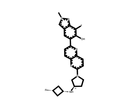 Cn1cc2cc(-c3ccc4nc(N5CC[C@@H](N[C@H]6C[C@@H](F)C6)C5)ccc4n3)c(O)c(F)c2n1